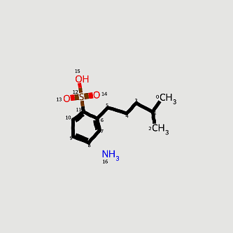 CC(C)CCCc1ccccc1S(=O)(=O)O.N